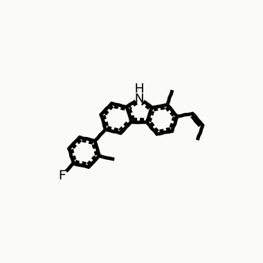 C/C=C\c1ccc2c([nH]c3ccc(-c4ccc(F)cc4C)cc32)c1C